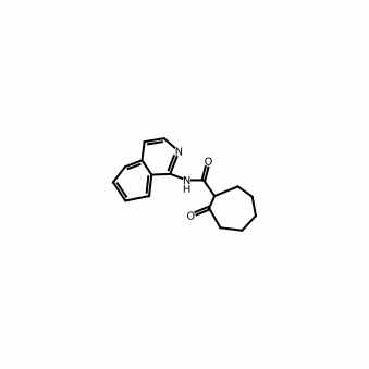 O=C1CCCCCC1C(=O)Nc1nccc2ccccc12